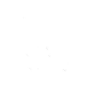 O=c1[nH]cnc2c(-c3ccc(C(F)(F)F)cc3)nn(C3CCNC3)c12